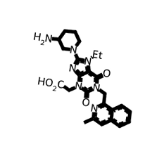 CCn1c(N2CCCC(N)C2)nc2c1c(=O)n(Cc1nc(C)cc3ccccc13)c(=O)n2CC(=O)O